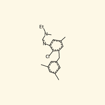 CCN(C)/C=N\c1cc(C)cc(Cc2cc(C)cc(C)c2)c1Cl